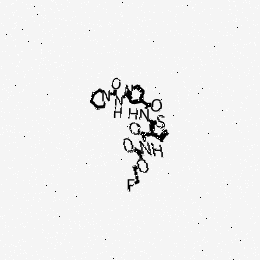 O=C(NC(=O)c1ccsc1NC(=O)c1ccnc(NC(=O)N2CCCCC2)c1)OCCF